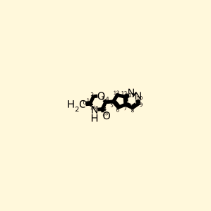 C=C1COC(C2=Cc3ccnnc3C2)C(=O)N1